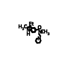 CCc1c(C)[nH]c2ccc(C(=O)N(C)CCN3CCCCC3)cc12